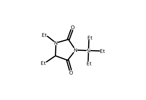 CCC1C(=O)N([Si](CC)(CC)CC)C(=O)N1CC